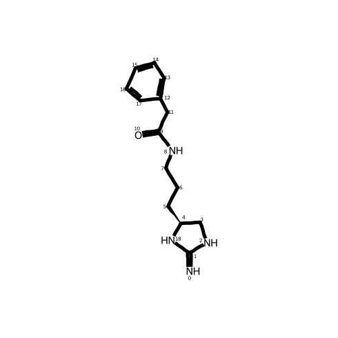 N=C1NC[C@H](CCCNC(=O)Cc2ccccc2)N1